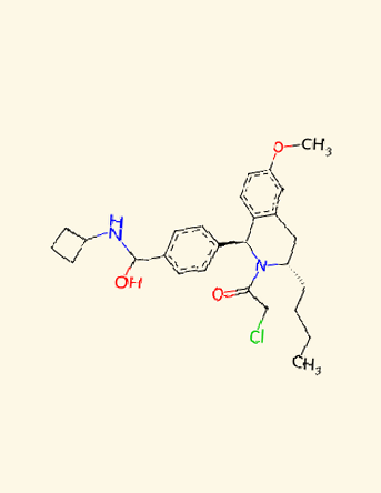 CCCC[C@H]1Cc2cc(OC)ccc2[C@H](c2ccc(C(O)NC3CCC3)cc2)N1C(=O)CCl